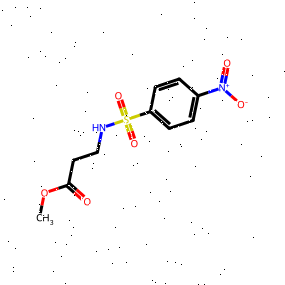 COC(=O)CCNS(=O)(=O)c1ccc([N+](=O)[O-])cc1